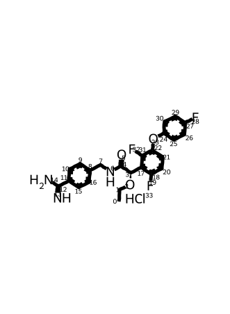 CCO[C@H](C(=O)NCc1ccc(C(=N)N)cc1)c1c(F)ccc(Oc2ccc(F)cc2)c1F.Cl